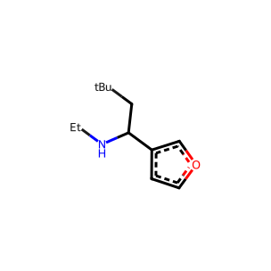 CCNC(CC(C)(C)C)c1ccoc1